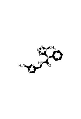 Cn1nnnc1N(C(=O)NCc1csc(N)n1)c1ccccc1